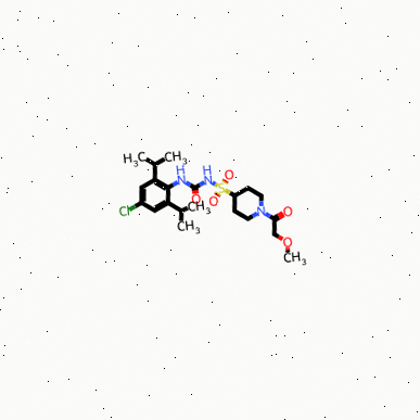 COCC(=O)N1CCC(S(=O)(=O)NC(=O)Nc2c(C(C)C)cc(Cl)cc2C(C)C)CC1